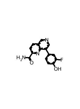 NC(=O)c1ccc2cncc(-c3ccc(O)c(F)c3)c2n1